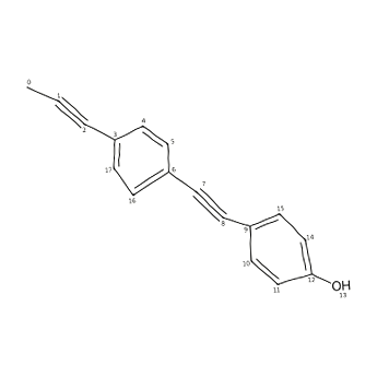 CC#Cc1ccc(C#Cc2ccc(O)cc2)cc1